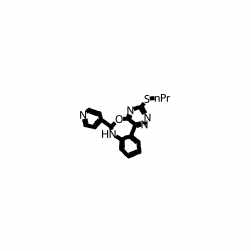 CCCSc1nnc2c(n1)OC(c1ccncc1)Nc1ccccc1-2